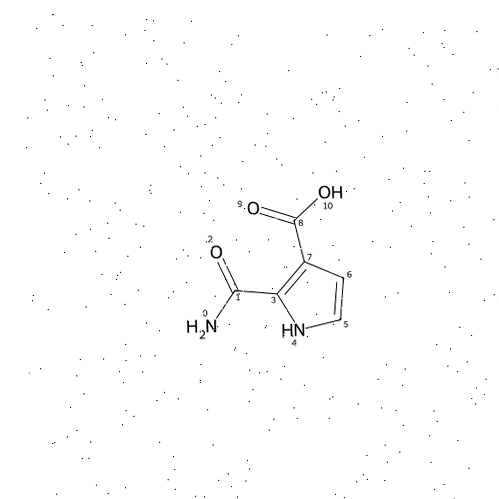 NC(=O)c1[nH]ccc1C(=O)O